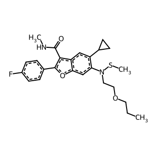 CCCOCCN(SC)c1cc2oc(-c3ccc(F)cc3)c(C(=O)NC)c2cc1C1CC1